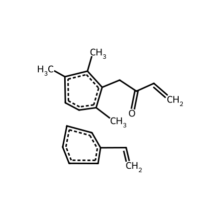 C=CC(=O)Cc1c(C)ccc(C)c1C.C=Cc1ccccc1